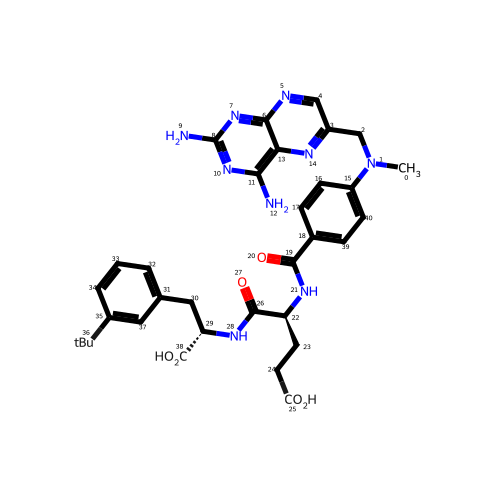 CN(Cc1cnc2nc(N)nc(N)c2n1)c1ccc(C(=O)N[C@@H](CCC(=O)O)C(=O)N[C@@H](Cc2cccc(C(C)(C)C)c2)C(=O)O)cc1